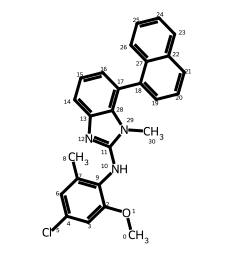 COc1cc(Cl)cc(C)c1Nc1nc2cccc(-c3cccc4ccccc34)c2n1C